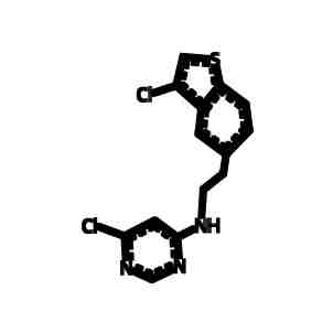 Clc1cc(NCCc2ccc3scc(Cl)c3c2)ncn1